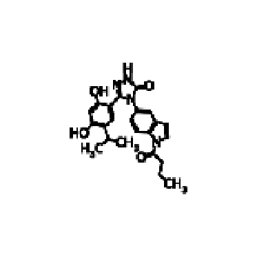 CCCC(=O)n1ccc2cc(-n3c(-c4cc(C(C)C)c(O)cc4O)n[nH]c3=O)ccc21